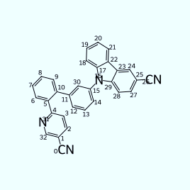 N#Cc1ccc(-c2ccccc2-c2cccc(-n3c4ccccc4c4cc(C#N)ccc43)c2)nc1